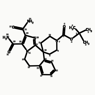 CC(C)(C)OC(=O)N1CCC2(CC1)c1ccccc1CCn1c2nc(C(N)=O)c1C(N)=O